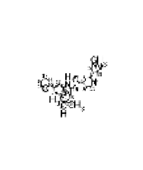 Cn1cc(-c2cc(C(=O)/N=c3\[nH]c4cc(C5CCCCO5)ccc4n3CC(C)(C)O)ccn2)cn1